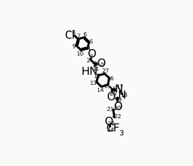 O=C(COc1ccc(Cl)cc1)N[C@H]1CC[C@H](c2nnc(OCCOC(F)(F)F)o2)CC1